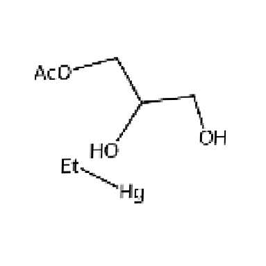 CC(=O)OCC(O)CO.C[CH2][Hg]